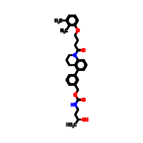 Cc1cccc(OCCCC(=O)N2CCCc3c(-c4cccc(COC(=O)NCCC(O)C(=O)O)c4)cccc32)c1C